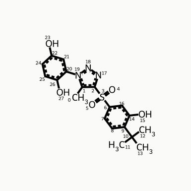 Cc1c(S(=O)(=O)c2ccc(C(C)(C)C)c(O)c2)nnn1-c1cc(O)ccc1O